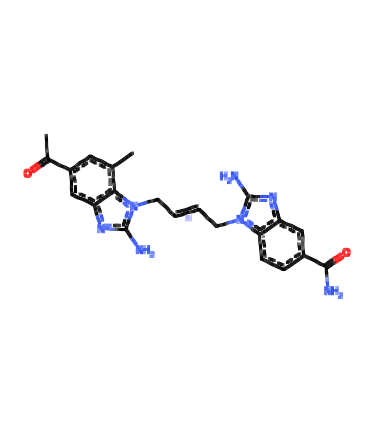 CC(=O)c1cc(C)c2c(c1)nc(N)n2C/C=C/Cn1c(N)nc2cc(C(N)=O)ccc21